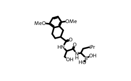 COc1ccc(OC)c2c1CCC(C(=O)NC(CO)C(=O)NC(CC(C)C)B(O)O)C2